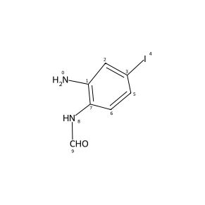 Nc1cc(I)ccc1NC=O